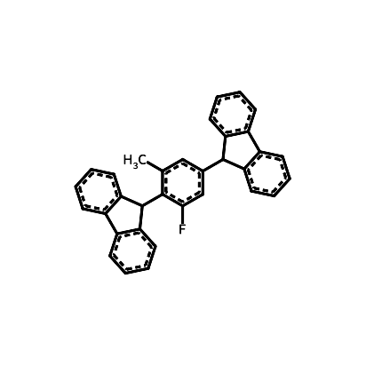 Cc1cc(C2c3ccccc3-c3ccccc32)cc(F)c1C1c2ccccc2-c2ccccc21